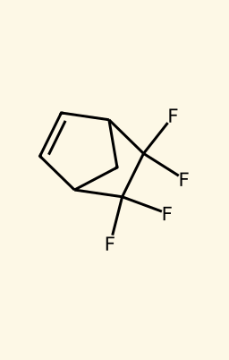 FC1(F)C2C=CC(C2)C1(F)F